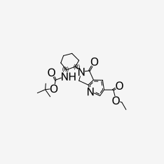 CCOC(=O)c1cnc2c(c1)C(=O)N([C@@H]1CCCC[C@H]1NC(=O)OC(C)(C)C)C2